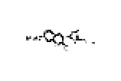 COc1ccc2cc(-c3csc(N)n3)c(=O)oc2c1